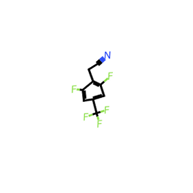 N#CCc1c(F)cc(C(F)(F)F)cc1F